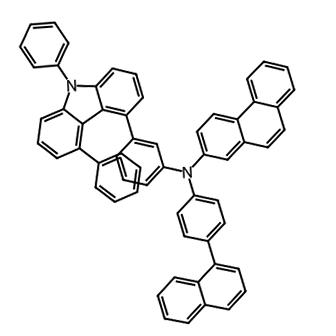 c1ccc(-c2cccc3c2c2c(-c4cccc(N(c5ccc(-c6cccc7ccccc67)cc5)c5ccc6c(ccc7ccccc76)c5)c4)cccc2n3-c2ccccc2)cc1